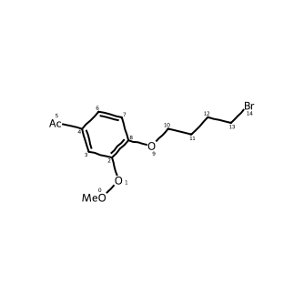 COOc1cc(C(C)=O)ccc1OCCCCBr